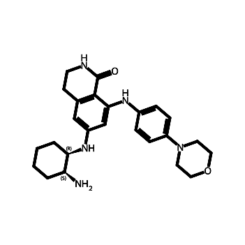 N[C@H]1CCCC[C@H]1Nc1cc2c(c(Nc3ccc(N4CCOCC4)cc3)c1)C(=O)NCC2